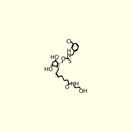 O=C(CCC/C=C\C[C@@H]1[C@@H](COC(=S)NCc2cccc(Cl)c2)[C@H](O)C[C@@H]1O)NCCO